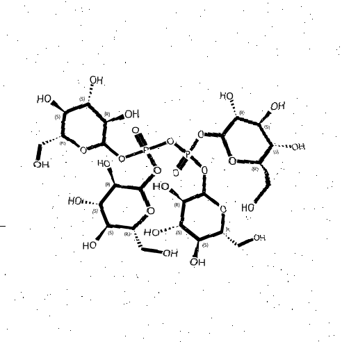 O=P(OC1O[C@H](CO)[C@@H](O)[C@H](O)[C@H]1O)(OC1O[C@H](CO)[C@@H](O)[C@H](O)[C@H]1O)OP(=O)(OC1O[C@H](CO)[C@@H](O)[C@H](O)[C@H]1O)OC1O[C@H](CO)[C@@H](O)[C@H](O)[C@H]1O